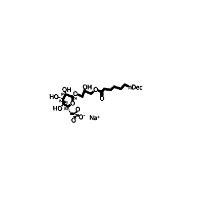 CCCCCCCCCCCCCCCC(=O)OCC(O)CO[C@H]1O[C@H](CS(=O)(=O)[O-])[C@H](O)[C@H](O)[C@H]1O.[Na+]